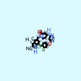 Cc1c(Cn2ccc(Nc3cc(Oc4ccc(Cl)c(F)c4)ncn3)cc2=O)ccc2[nH]c(C#N)cc12